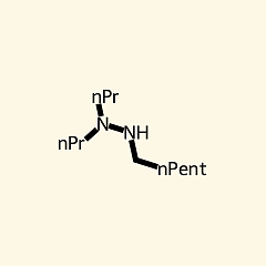 CCCCCCNN(CCC)CCC